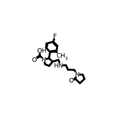 Cc1cc(F)ccc1C1C(CNCCCN2CCCC2=O)CCN1C(=O)O